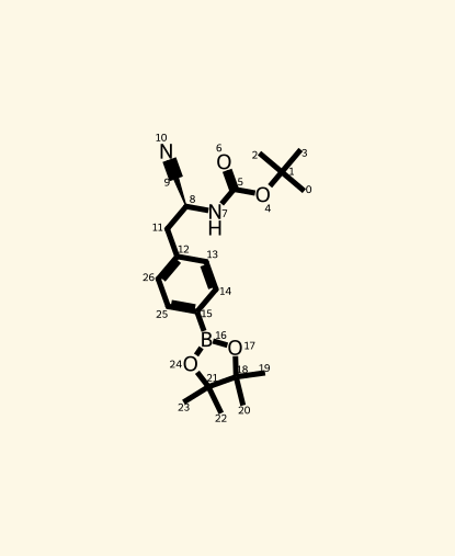 CC(C)(C)OC(=O)N[C@H](C#N)Cc1ccc(B2OC(C)(C)C(C)(C)O2)cc1